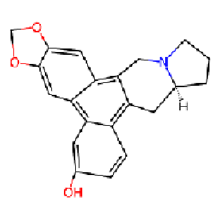 Oc1ccc2c3c(c4cc5c(cc4c2c1)OCO5)CN1CCC[C@H]1C3